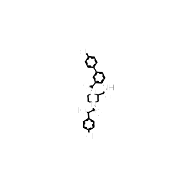 O=C1Nc2ccc(-c3ccc(Cl)cc3)cc2C(=O)N2CCN(C(=O)C(O)c3ccc(Cl)cc3)CC12